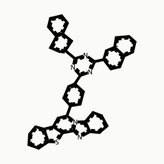 c1ccc2cc(-c3nc(-c4ccc(-c5cc6c7ccccc7sc6c6nc7ccccc7n56)cc4)nc(-c4ccc5ccccc5c4)n3)ccc2c1